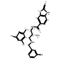 CCc1cccc(CNC[C@@H](O)[C@H](Cc2cc(F)cc(F)c2)NC(=O)c2ccc3[nH]c(=O)oc3c2)c1